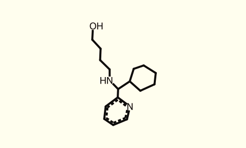 OCCCCNC(c1ccccn1)C1CCCCC1